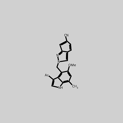 COc1cc(C)c2[nH]cc(C(C)=O)c2c1Cn1cc2ccc(C#N)cc2n1